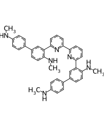 CNc1ccc(-c2ccc(NC)c(-c3cccc(-c4cccc(-c5cc(-c6ccc(NC)cc6)ccc5NC)n4)n3)c2)cc1